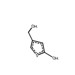 OCc1csc(O)c1